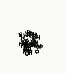 CCC(=O)N[C@H]1C[C@@H](n2cnc3c(NCC(c4ccccc4)c4ccccc4)nc(N4CC[C@@H](NC(=O)Nc5ccc(C#N)cc5)C4)nc32)[C@H](O)[C@@H]1O.O=C(O)C(F)(F)F